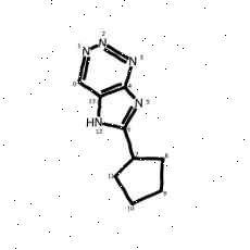 c1nnnc2nc(C3CCCC3)[nH]c12